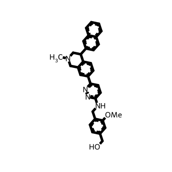 COc1cc(CO)ccc1CNc1ccc(-c2ccc3c(c2)CN(C)CC3c2ccc3ccccc3c2)nn1